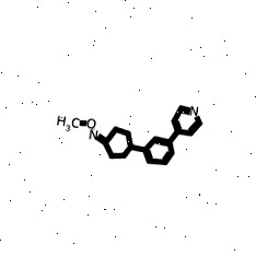 CON=C1CCC(c2cccc(-c3ccncc3)c2)CC1